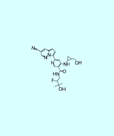 CC(C)(O)C(F)CNC(=O)c1cnc(-c2ccc3cc(C#N)cnn23)cc1NC1CC1CO